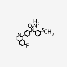 CSc1cccc(N(C(N)=O)c2ccc(C3=NCCc4ccc(F)cc43)cc2)c1